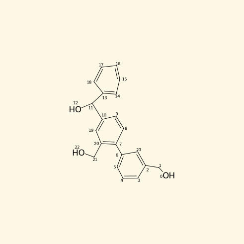 OCc1cccc(-c2ccc(C(O)c3ccccc3)cc2CO)c1